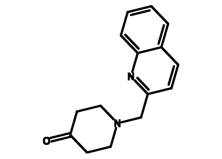 O=C1CCN(Cc2ccc3ccccc3n2)CC1